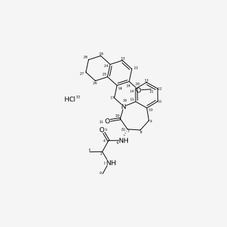 CNC(C)C(=O)N[C@H]1CCc2ccccc2N(Cc2c(OC)ccc3c2CCCC3)C1=O.Cl